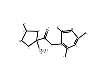 Cc1cc(C)c(CC(=O)C2(C(=O)O)CCC(C)C2)c(C)c1